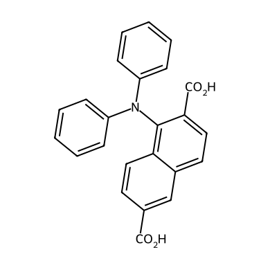 O=C(O)c1ccc2c(N(c3ccccc3)c3ccccc3)c(C(=O)O)ccc2c1